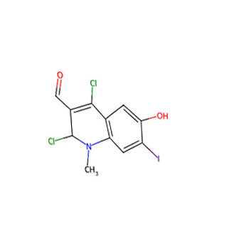 CN1c2cc(I)c(O)cc2C(Cl)=C(C=O)C1Cl